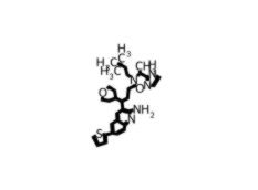 CC(c1ncc[nH]1)N(CCC(C)(C)C)C(=O)CCC(c1cc2cc(-c3cccs3)ccc2nc1N)C1CCOCC1